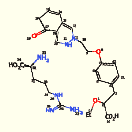 CCOC(Cc1ccc(OCCN2C=C3C=CCC(=O)C3=CN2)cc1)C(=O)O.N=C(N)NCCC[C@H](N)C(=O)O